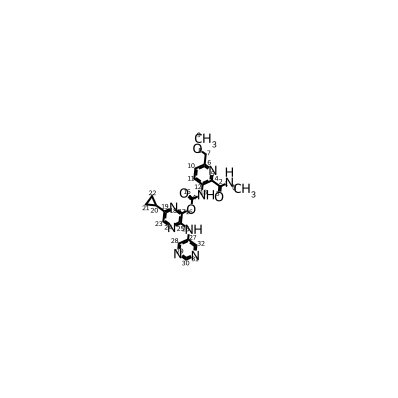 CNC(=O)c1nc(COC)ccc1NC(=O)Oc1nc(C2CC2)cnc1Nc1cncnc1